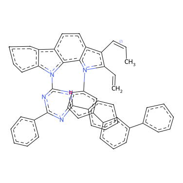 C=Cc1c(/C=C\C)c2ccc3c4ccccc4n(-c4nc(-c5ccccc5)nc(-c5ccccc5)n4)c3c2n1-c1cccc(-c2cccc(-c3ccccc3)c2)c1